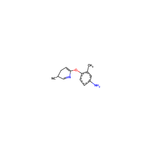 Cc1cc(N)ccc1OC1=CCC(C#N)C=N1